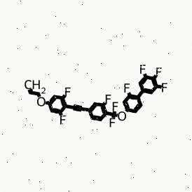 C=CCOc1cc(F)c(C#Cc2ccc(C(F)(F)Oc3ccc(-c4cc(F)c(F)c(F)c4)c(F)c3)c(F)c2)c(F)c1